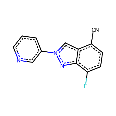 N#Cc1ccc(F)c2nn(-c3cccnc3)cc12